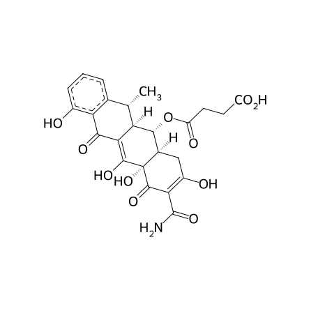 C[C@H]1c2cccc(O)c2C(=O)C2=C(O)[C@]3(O)C(=O)C(C(N)=O)=C(O)C[C@@H]3[C@@H](OC(=O)CCC(=O)O)[C@@H]21